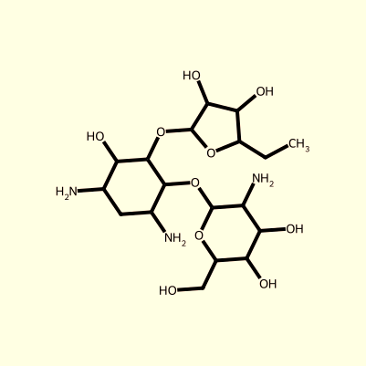 CCC1OC(OC2C(O)C(N)CC(N)C2OC2OC(CO)C(O)C(O)C2N)C(O)C1O